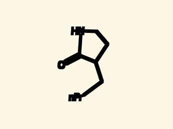 CCCCC1CCNC1=O